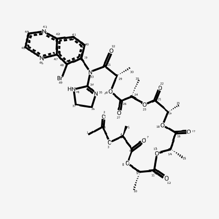 CC(=O)O[C@@H](C)C(=O)O[C@@H](C)C(=O)O[C@@H](C)C(=O)O[C@@H](C)C(=O)O[C@@H](C)C(=O)O[C@@H](C)C(=O)N(C1=NCCN1)c1ccc2nccnc2c1Br